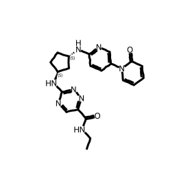 CCNC(=O)c1cnc(N[C@H]2CC[C@H](Nc3ccc(-n4ccccc4=O)cn3)C2)nn1